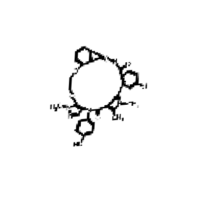 Cc1c2cc(n1C)-c1cc(Cl)ccc1C(=O)N1CCc3c(cccc3OCCOc3c(cnn3C)N(c3ccc(O)cc3)C2=O)C1